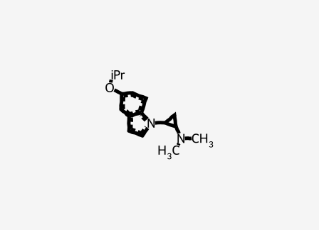 CC(C)Oc1ccc2c(ccn2C2CC2N(C)C)c1